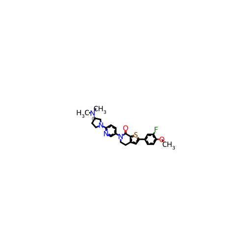 COc1ccc(-c2cc3c(s2)C(=O)N(c2ccc(N4CC[C@H](N(C)C)C4)nc2)CC3)cc1F